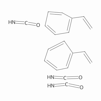 C=Cc1ccccc1.C=Cc1ccccc1.N=C=O.N=C=O.N=C=O